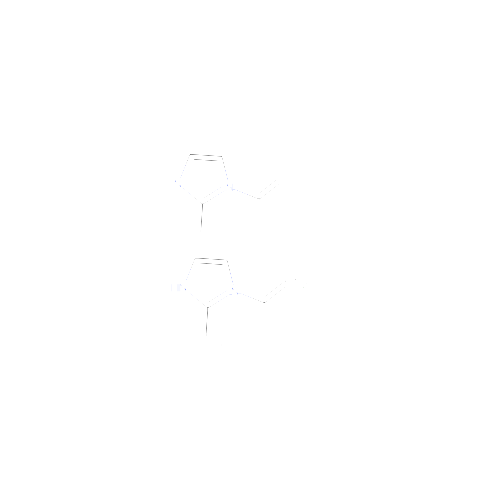 C=C[n+]1cc[nH]c1C.C=C[n+]1cc[nH]c1C.[Cl-].[Cl-]